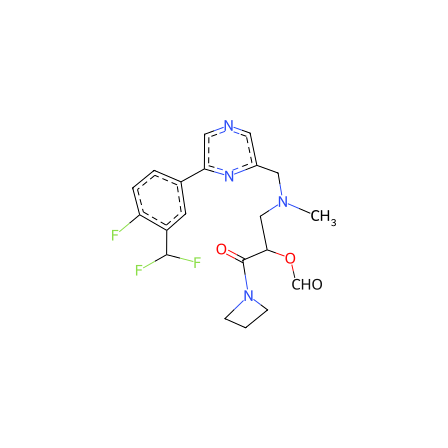 CN(Cc1cncc(-c2ccc(F)c(C(F)F)c2)n1)CC(OC=O)C(=O)N1CCC1